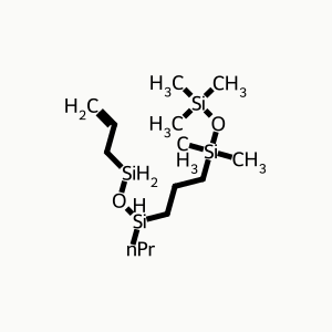 C=CC[SiH2]O[SiH](CCC)CCC[Si](C)(C)O[Si](C)(C)C